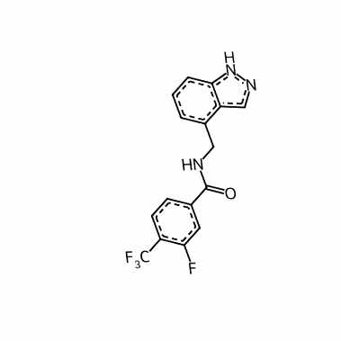 O=C(NCc1cccc2[nH]ncc12)c1ccc(C(F)(F)F)c(F)c1